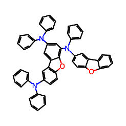 c1ccc(N(c2ccccc2)c2ccc3oc4c(N(c5ccccc5)c5ccc6oc7ccccc7c6c5)cc(N(c5ccccc5)c5ccccc5)cc4c3c2)cc1